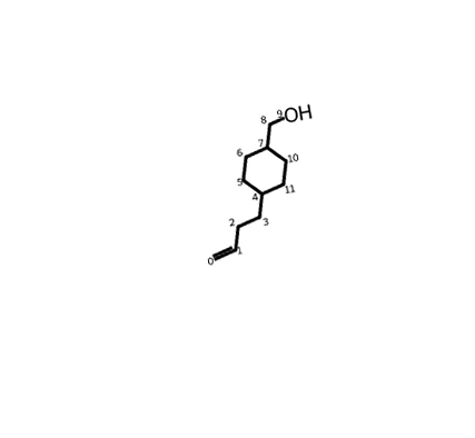 C=CCCC1CCC(CO)CC1